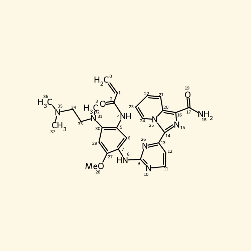 C=CC(=O)Nc1cc(Nc2nccc(-c3nc(C(N)=O)c4ccccn34)n2)c(OC)cc1N(C)CCN(C)C